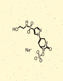 O=C1N2CC(n3cc(S(=O)(=O)NCCO)cn3)=CC(C2)N1OS(=O)(=O)[O-].[Na+]